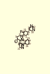 O=c1ccn(-c2ccc(-c3cncnc3)cc2F)nc1-c1ccnn1-c1ccccc1